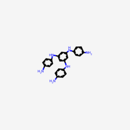 Nc1ccc(Nc2cc(Nc3ccc(N)cc3)cc(Nc3ccc(N)cc3)c2)cc1